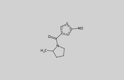 CC1CCCN1C(=O)c1csc(N=O)c1